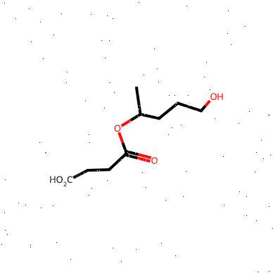 CC(CCCO)OC(=O)CCC(=O)O